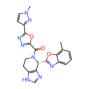 Cc1cccc2nc([C@@H]3c4nc[nH]c4CCN3C(=O)c3nnc(-c4ccn(C)n4)o3)oc12